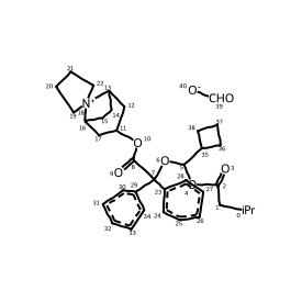 CC(C)CC(=O)OC(OC(C(=O)OC1CC2CCC(C1)[N+]21CCCC1)(c1ccccc1)c1ccccc1)C1CCC1.O=C[O-]